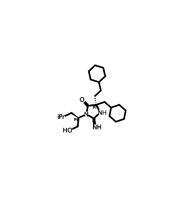 CC(C)C[C@H](CO)N1C(=N)N[C@](CCC2CCCCC2)(CC2CCCCC2)C1=O